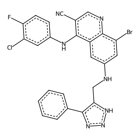 N#Cc1cnc2c(Br)cc(NCc3[nH]nnc3-c3ccccc3)cc2c1Nc1ccc(F)c(Cl)c1